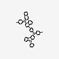 Cc1ccc(N(c2ccc(-c3ccc(N(c4ccc(C)cc4)c4ccc5ccccc5c4)c4ccccc34)cc2)c2ccc3c(c2)c2ccccc2n3-c2ccccc2)cc1